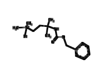 CC[N+](C)(C)CCC(C)(C)NC(=O)OCc1ccccc1